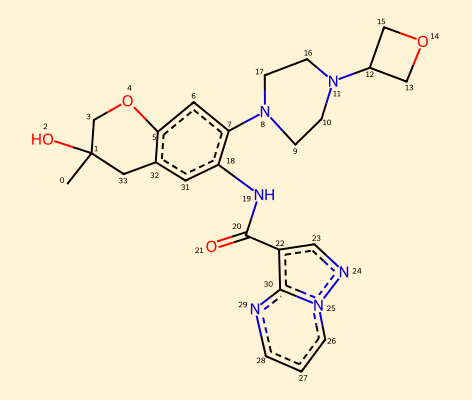 CC1(O)COc2cc(N3CCN(C4COC4)CC3)c(NC(=O)c3cnn4cccnc34)cc2C1